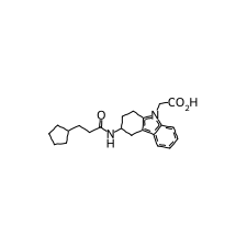 O=C(O)Cn1c2c(c3ccccc31)CC(NC(=O)CCC1CCCC1)CC2